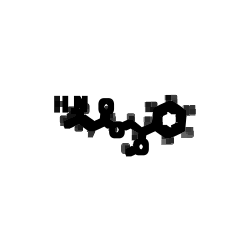 CO[C@@H](COC(=O)/C=C(/C)N)c1ccccc1